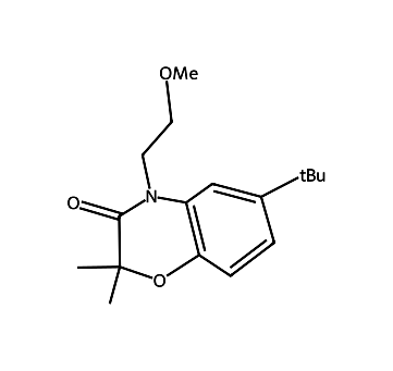 COCCN1C(=O)C(C)(C)Oc2ccc(C(C)(C)C)cc21